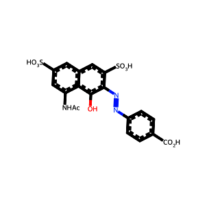 CC(=O)Nc1cc(S(=O)(=O)O)cc2cc(S(=O)(=O)O)c(N=Nc3ccc(C(=O)O)cc3)c(O)c12